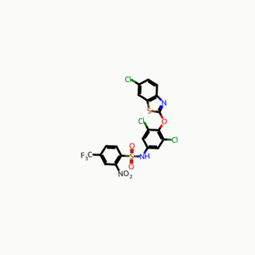 O=[N+]([O-])c1cc(C(F)(F)F)ccc1S(=O)(=O)Nc1cc(Cl)c(Oc2nc3ccc(Cl)cc3s2)c(Cl)c1